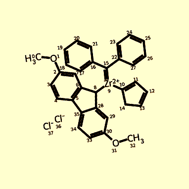 COc1ccc2c(c1)[CH]([Zr+2]([C]1=CC=CC1)=[C](c1ccccc1)c1ccccc1)c1cc(OC)ccc1-2.[Cl-].[Cl-]